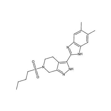 CCCCS(=O)(=O)N1CCc2c(n[nH]c2-c2nc3cc(C)c(C)cc3[nH]2)C1